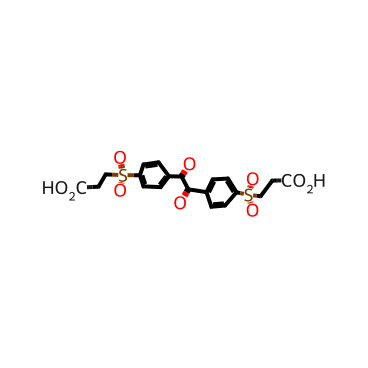 O=C(O)CCS(=O)(=O)c1ccc(C(=O)C(=O)c2ccc(S(=O)(=O)CCC(=O)O)cc2)cc1